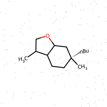 CCCC[C@]1(C)CCC2C(C)COC2C1